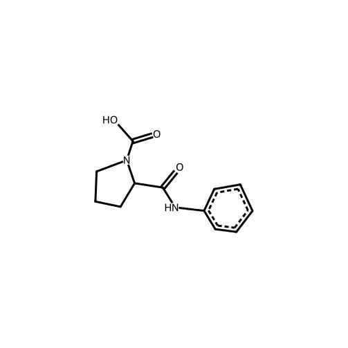 O=C(Nc1ccccc1)C1CCCN1C(=O)O